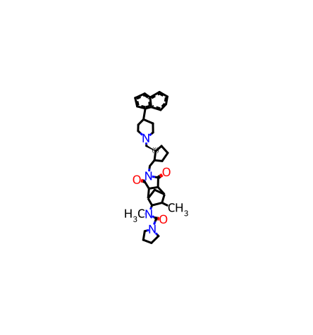 CC1C2CC(C3C(=O)N(CC4CCC[C@@H]4CN4CCC(c5cccc6ccccc56)CC4)C(=O)C23)C1N(C)C(=O)N1CCCC1